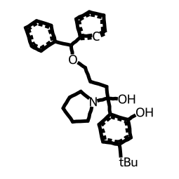 CC(C)(C)c1ccc(C(O)(CCCOC(c2ccccc2)c2ccccc2)N2CCCCC2)c(O)c1